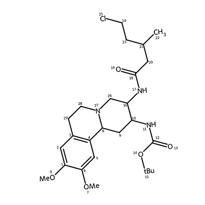 COc1cc2c(cc1OC)C1CC(NC(=O)OC(C)(C)C)C(NC(=O)CC(C)CCCl)CN1CC2